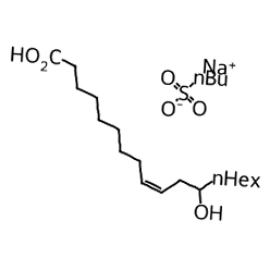 CCCCCCC(O)C/C=C\CCCCCCCC(=O)O.CCCCS(=O)(=O)[O-].[Na+]